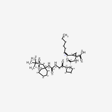 CCCCC/C=C\C1C[C@]1(NC(=O)[C@@H]1CCCN1C(=O)CNC(=O)NC1(CS(=O)(=O)C(C)(C)C)CCCCC1)C(=O)O